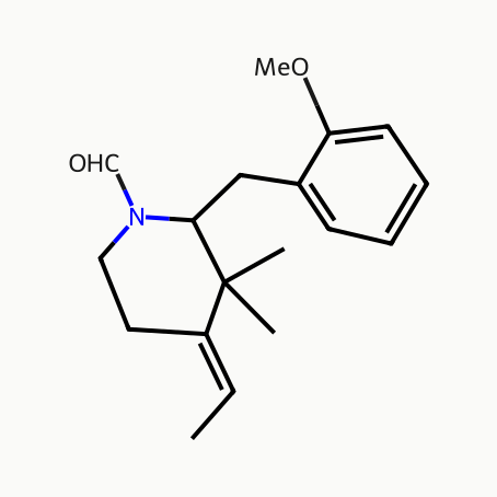 CC=C1CCN(C=O)C(Cc2ccccc2OC)C1(C)C